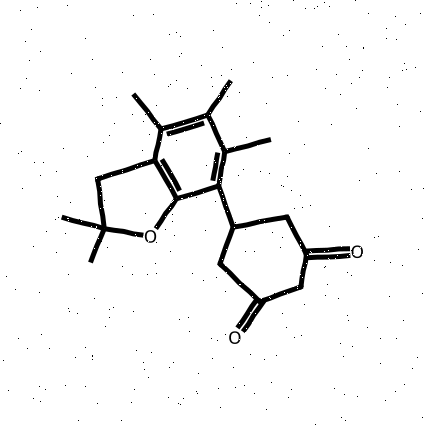 Cc1c(C)c2c(c(C3CC(=O)CC(=O)C3)c1C)OC(C)(C)C2